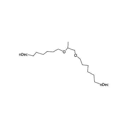 CCCCCCCCCCCCCCCCOCC(C)OCCCCCCCCCCCCCCCC